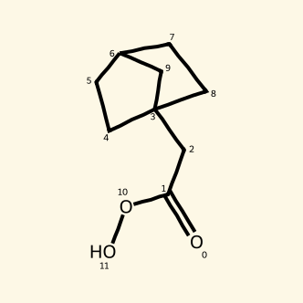 O=C(CC12CCC(CC1)C2)OO